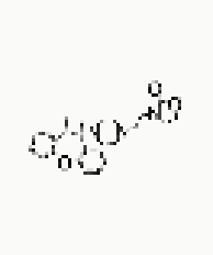 CC1c2ccccc2Oc2ccccc2C1(C)N1CCN(CCN2CCOC2=O)CC1